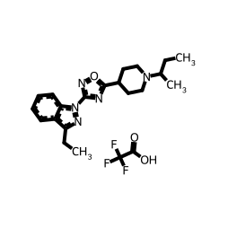 CCc1nn(-c2noc(C3CCN(C(C)CC)CC3)n2)c2ccccc12.O=C(O)C(F)(F)F